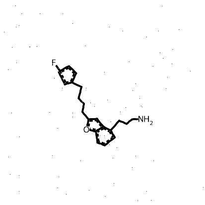 NCCCc1cccc2oc(CCCCc3ccc(F)cc3)cc12